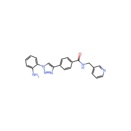 Nc1ccccc1-n1cc(-c2ccc(C(=O)NCc3cccnc3)cc2)nn1